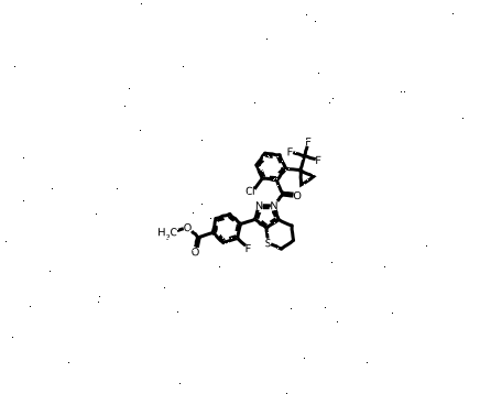 COC(=O)c1ccc(-c2nn(C(=O)c3c(Cl)cccc3C3(C(F)(F)F)CC3)c3c2SCCC3)c(F)c1